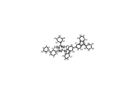 c1ccc(-c2cccc(C3=NC(n4c5ccccc5c5cc(-c6ccc7c(c6)c6ccccc6n7-c6ccccc6)ccc54)NC(c4ccccc4)N3)c2)cc1